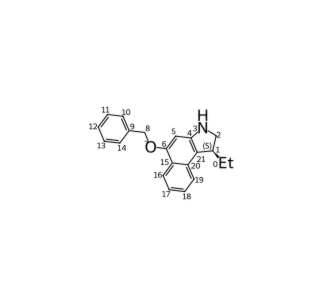 CC[C@@H]1CNc2cc(OCc3ccccc3)c3ccccc3c21